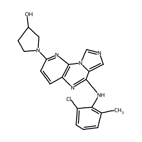 Cc1cccc(Cl)c1Nc1nc2ccc(N3CCC(O)C3)nc2n2cncc12